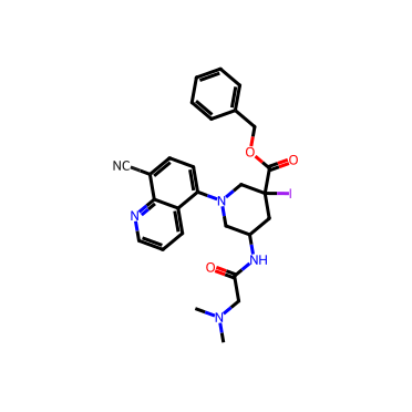 CN(C)CC(=O)NC1CN(c2ccc(C#N)c3ncccc23)CC(I)(C(=O)OCc2ccccc2)C1